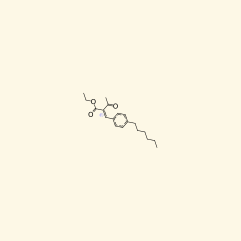 CCCCCCc1ccc(/C=C(\C(C)=O)C(=O)OCC)cc1